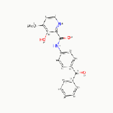 COc1ccnc(C(=O)Nc2ccc(C(=O)c3ccccc3)cc2)c1O